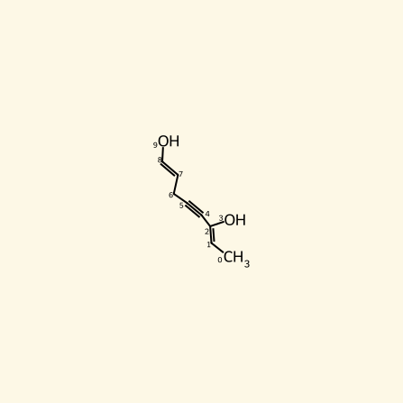 C/C=C(\O)C#CC/C=C/O